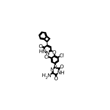 Nc1nn(-c2cc(Cl)c(Oc3cc([C@@H]4Cc5ccccc54)c(=O)[nH]n3)c(Cl)c2)c(=O)[nH]c1=O